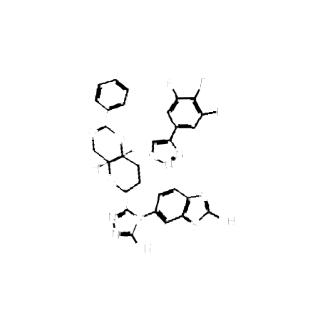 Cc1nc2ccc(-n3c(C)nnc3[C@H]3C[C@@H](n4cc(-c5cc(F)c(F)c(F)c5)nn4)[C@H]4O[C@@H](c5ccccc5)OC[C@H]4O3)cc2s1